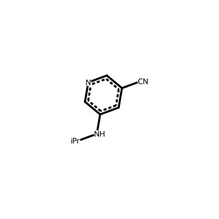 CC(C)Nc1cncc(C#N)c1